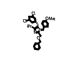 COc1ccc(Cn2c(COCc3ccccc3)nc(C(C)C)c2Sc2cc(Cl)cc(Cl)c2)cc1